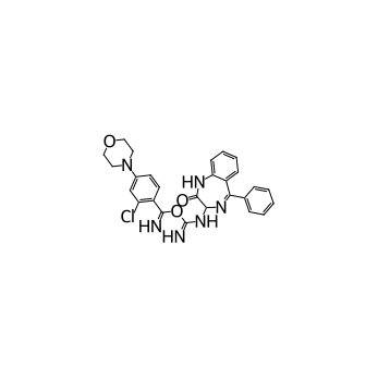 N=C(NC1N=C(c2ccccc2)c2ccccc2NC1=O)OC(=N)c1ccc(N2CCOCC2)cc1Cl